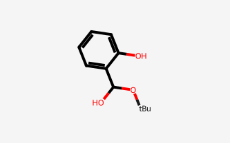 CC(C)(C)OC(O)c1ccccc1O